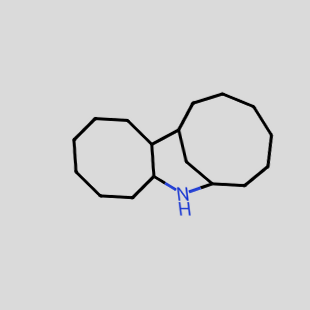 C1CCCC2CC(CC1)NC1CCCCCCC21